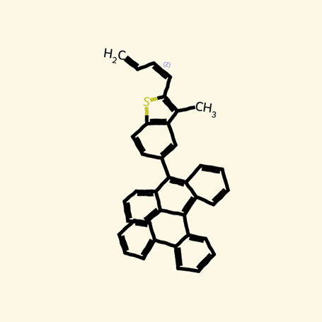 C=C/C=C\c1sc2ccc(-c3c4ccccc4c(-c4ccccc4-c4ccccc4)c4ccccc34)cc2c1C